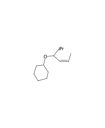 C/C=C\C(OC1CCCCC1)C(C)C